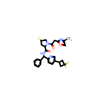 O=C(NC(c1ccccc1)c1ccc(C2CC(F)(F)C2)cn1)C1CC(F)CN1C(=O)Cc1nc(C(F)(F)F)co1